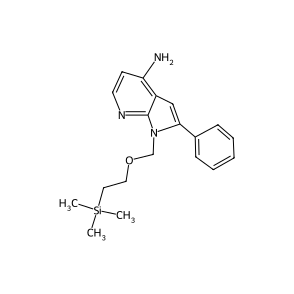 C[Si](C)(C)CCOCn1c(-c2ccccc2)cc2c(N)ccnc21